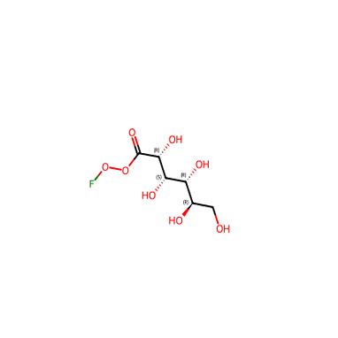 O=C(OOF)[C@H](O)[C@@H](O)[C@H](O)[C@H](O)CO